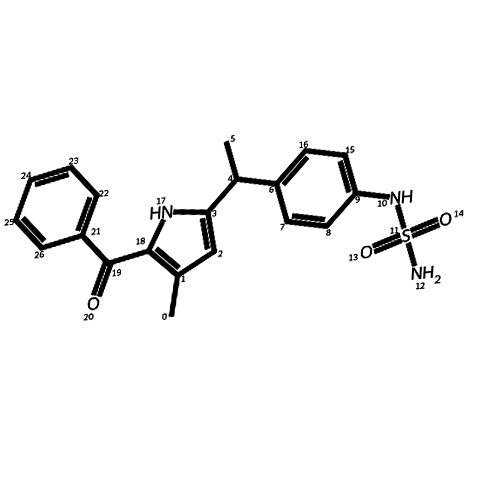 Cc1cc(C(C)c2ccc(NS(N)(=O)=O)cc2)[nH]c1C(=O)c1ccccc1